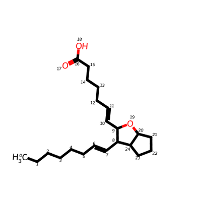 CCCCCCC=CC1C(C=CCCCCC(=O)O)OC2CCCC21